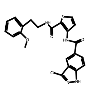 COc1ccccc1CCNC(=O)c1sccc1NC(=O)c1ccc2[nH]nc(Cl)c2c1